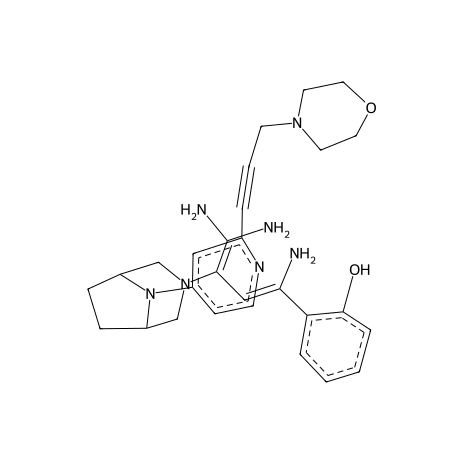 NC(N)=C(/C=C(\N)c1ccccc1O)N1CC2CCC(C1)N2c1ccnc(C#CCN2CCOCC2)c1